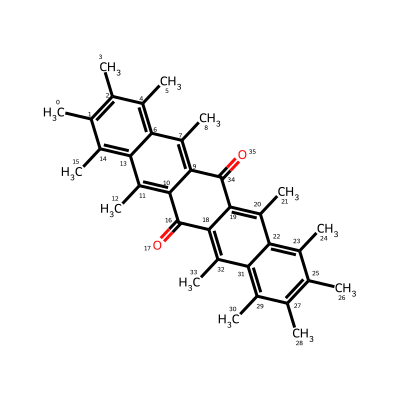 Cc1c(C)c(C)c2c(C)c3c(c(C)c2c1C)C(=O)c1c(c(C)c2c(C)c(C)c(C)c(C)c2c1C)C3=O